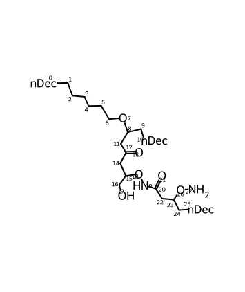 CCCCCCCCCCCCCCCCOC(CCCCCCCCCCC)CC(=O)CC(CO)ONC(=O)CC(CCCCCCCCCCC)ON